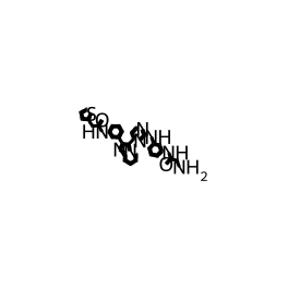 NCC(=O)Nc1cccc(Nc2nccc(-c3c(-c4cccc(NC(=O)Cc5cccs5)c4)nc4ccccn34)n2)c1